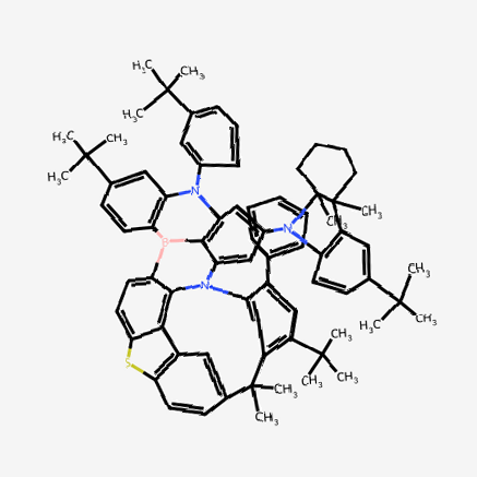 CC(C)(C)c1cccc(N2c3cc(C(C)(C)C)ccc3B3c4ccc5sc6ccc7cc6c5c4N(c4cc(c(C(C)(C)C)cc4-c4ccccc4)C7(C)C)c4cc(N5c6ccc(C(C)(C)C)cc6C6(C)CCCCC56C)cc2c43)c1